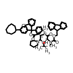 CC(C)C[C@@H](C(=O)N(C)[C@@H](CC(=O)OC(c1ccccc1)(c1ccc(C2CCCCCCC2)cc1)c1ccccc1Cl)C(O)N1CCCCC1)N(C)C(=O)OCC1c2ccccc2-c2ccccc21